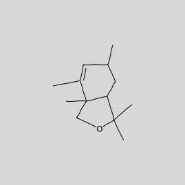 CC1=CC(C)CC2C(C)(C)OCC12C